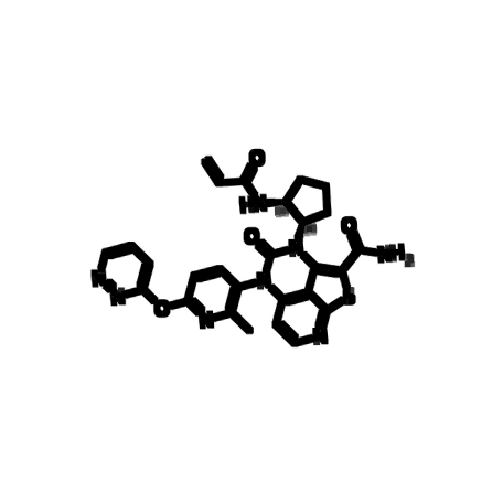 C=CC(=O)N[C@H]1CCC[C@H]1N1C(=O)N(c2ccc(Oc3cccnn3)nc2C)c2ccnc3sc(C(N)=O)c1c23